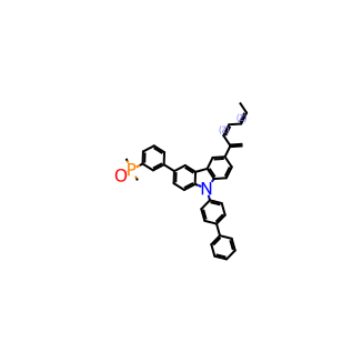 C=C(/C=C\C=C/C)c1ccc2c(c1)c1cc(-c3cccc(P(C)(C)=O)c3)ccc1n2-c1ccc(-c2ccccc2)cc1